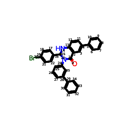 O=C1c2cc(-c3ccccc3)ccc2NC(c2ccc(Br)cc2)N1c1cccc(-c2ccccc2)c1